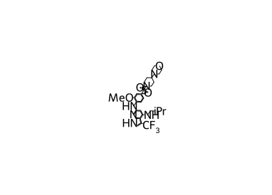 COc1cc(S(=O)(=O)N2CCC(N3CCOCC3)CC2)ccc1Nc1cc(NCC(C)C)c2c(C(F)(F)F)c[nH]c2n1